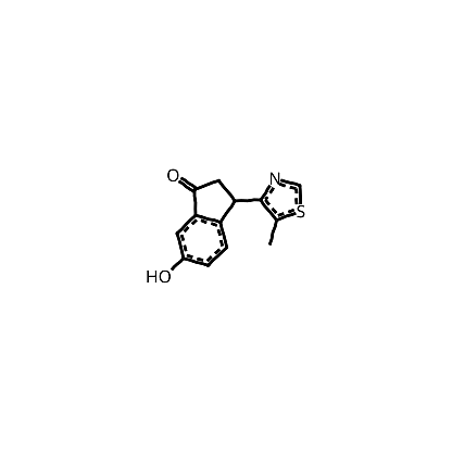 Cc1scnc1C1CC(=O)c2cc(O)ccc21